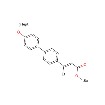 CCCCCCCOc1ccc(-c2ccc(C(=CC(=O)OC(C)(C)C)CC)cc2)cc1